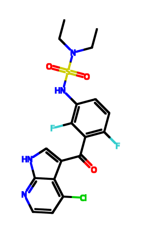 CCN(CC)S(=O)(=O)Nc1ccc(F)c(C(=O)c2c[nH]c3nccc(Cl)c23)c1F